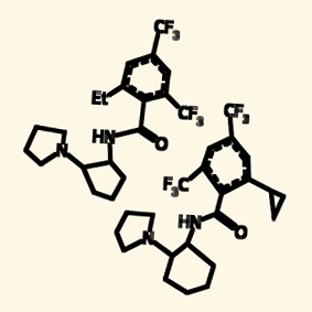 CCc1cc(C(F)(F)F)cc(C(F)(F)F)c1C(=O)NC1CCCC1N1CCCC1.O=C(NC1CCCCC1N1CCCC1)c1c(C2CC2)cc(C(F)(F)F)cc1C(F)(F)F